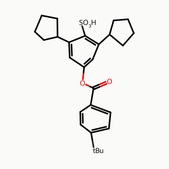 CC(C)(C)c1ccc(C(=O)Oc2cc(C3CCCC3)c(S(=O)(=O)O)c(C3CCCC3)c2)cc1